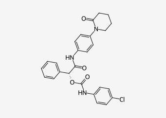 O=C(Nc1ccc(Cl)cc1)O[C@@H](C(=O)Nc1ccc(N2CCCCC2=O)cc1)c1ccccc1